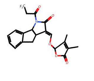 CC1=C(C)C(O/C=C2/C(=O)N(C(=O)CC(F)(F)F)C3c4ccccc4CC23)OC1=O